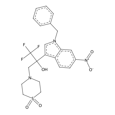 O=[N+]([O-])c1ccc2c(C(O)(CN3CCS(=O)(=O)CC3)C(F)(F)F)cn(Cc3ccccc3)c2c1